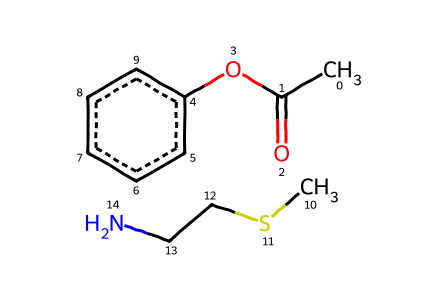 CC(=O)Oc1ccccc1.CSCCN